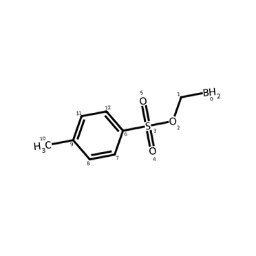 BCOS(=O)(=O)c1ccc(C)cc1